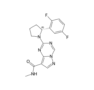 CNC(=O)c1cnn2cnc(N3CCC[C@@H]3c3cc(F)ccc3F)nc12